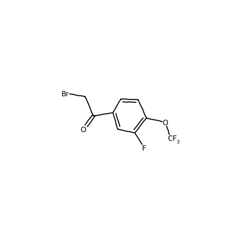 O=C(CBr)c1ccc(OC(F)(F)F)c(F)c1